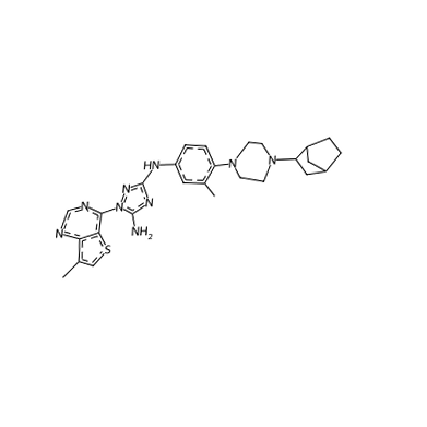 Cc1cc(Nc2nc(N)n(-c3ncnc4c(C)csc34)n2)ccc1N1CCN(C2CC3CCC2C3)CC1